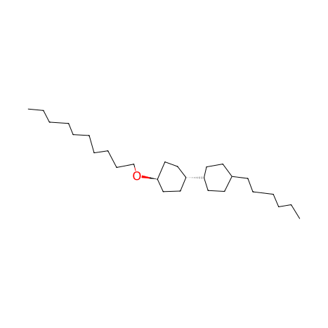 CCCCCCCCCCO[C@H]1CC[C@H](C2CCC(CCCCCC)CC2)CC1